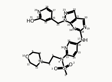 CS(=O)(=O)N(CCN1CCOCC1)c1ccc(Nc2ncc3cnn(Cc4ccnc(O)c4)c3n2)cn1